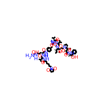 CC[C@H](C)[C@@H]([C@@H](CC(=O)N1CCC[C@H]1[C@H](OC)[C@@H](C)C(=O)N[C@H](C)[C@@H](O)c1ccccc1)OC)N(C)C(=O)[C@@H](NC(=O)[C@H](C(C)C)N(C)C(=O)OCc1c#cc(NC(=O)[C@H](CCCNC(N)O)NC(=O)[C@@H](NC(=O)CCCCCN2C(=O)CCC2=O)C(C)C)cc1)C(C)C